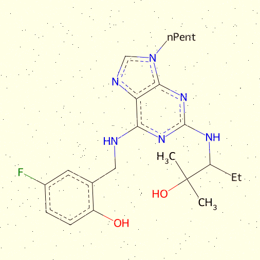 CCCCCn1cnc2c(NCc3cc(F)ccc3O)nc(NC(CC)C(C)(C)O)nc21